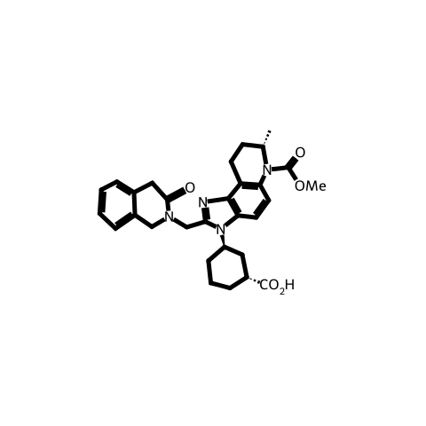 COC(=O)N1c2ccc3c(nc(CN4Cc5ccccc5CC4=O)n3[C@@H]3CCC[C@@H](C(=O)O)C3)c2CC[C@@H]1C